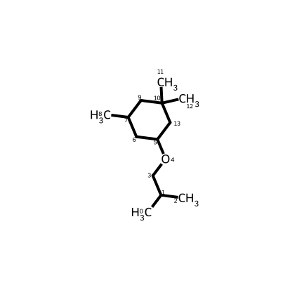 CC(C)COC1CC(C)CC(C)(C)C1